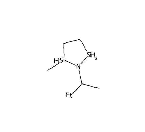 CCC(C)N1[SiH2]CC[SiH]1C